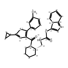 Cc1cccc(-c2sc(C3CC3)nc2C(=O)N2CCCC[C@H]2CNC(=O)Oc2cnc3ccccn23)c1